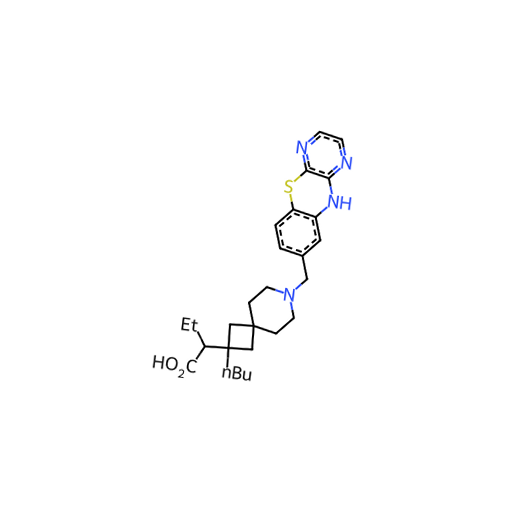 CCCCC1(C(CC)C(=O)O)CC2(CCN(Cc3ccc4c(c3)Nc3nccnc3S4)CC2)C1